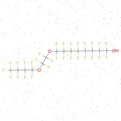 OC(F)(F)C(F)(F)C(F)(F)C(F)(F)C(F)(F)C(F)(F)C(F)(F)C(F)(F)OC(F)(F)C(F)(F)OC(F)(F)C(F)(F)C(F)(F)C(F)(F)F